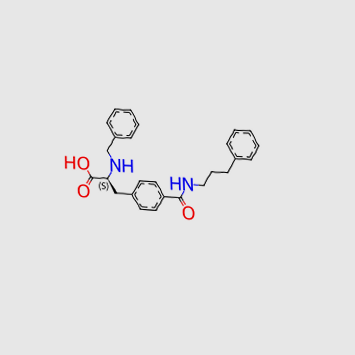 O=C(NCCCc1ccccc1)c1ccc(C[C@H](NCc2ccccc2)C(=O)O)cc1